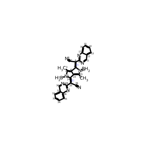 Bn1c(C)c2/c(=C(\C#N)c3ncc4ccccc4n3)n(B)c(C)c2/c1=C(\C#N)c1ncc2ccccc2n1